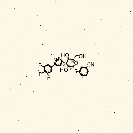 N#Cc1cccc(S[C@H]2O[C@H](CO)[C@H](O)[C@H](n3cc(-c4cc(F)c(F)c(F)c4)nn3)[C@H]2O)c1